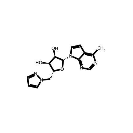 Cc1ncnc2c1ccn2[C@@H]1O[C@H](Cn2cccn2)[C@@H](O)[C@H]1O